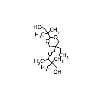 CCC1(COC(C)C(C)(C)CO)COC(C(C)(C)CO)OC1